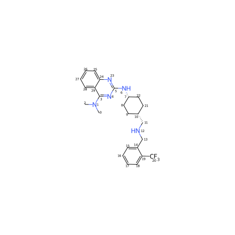 CN(C)c1nc(N[C@H]2CC[C@@H](CNCc3ccccc3C(F)(F)F)CC2)nc2ccccc12